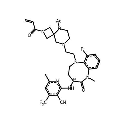 C=CC(=O)N1CC2(CN(CCN3CC[C@H](Nc4nc(C)cc(C(F)(F)F)c4C#N)C(=O)N(C)c4cccc(F)c43)CCN2C(C)=O)C1